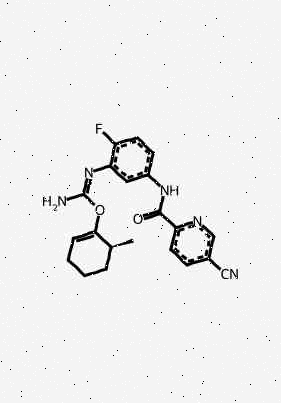 C[C@H]1CCCC=C1O/C(N)=N\c1cc(NC(=O)c2ccc(C#N)cn2)ccc1F